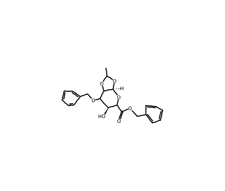 CC1OC2C(OCc3ccccc3)[C@H](O)C(C(=O)OCc3ccccc3)O[C@@H]2O1